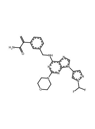 C=C(C(N)=O)c1cccc(CNc2nc(N3CCOCC3)nc3c2ncn3-c2cnn(C(F)F)c2)c1